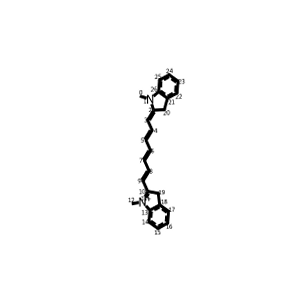 CN1/C(=C/C=C/C=C/C=C/C2=[N+](C)c3ccccc3C2)Cc2ccccc21